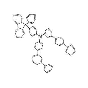 c1ccc(-c2ccc(-c3cccc(N(c4ccc(-c5cccc(-c6ccccc6)c5)cc4)c4ccc(C5(c6ccccc6)c6ccccc6-c6ccccc65)cc4)c3)cc2)cc1